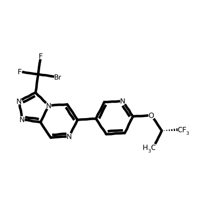 C[C@H](Oc1ccc(-c2cn3c(C(F)(F)Br)nnc3cn2)cn1)C(F)(F)F